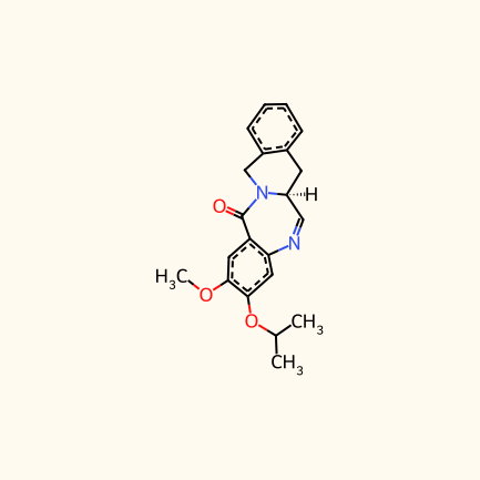 COc1cc2c(cc1OC(C)C)N=C[C@@H]1Cc3ccccc3CN1C2=O